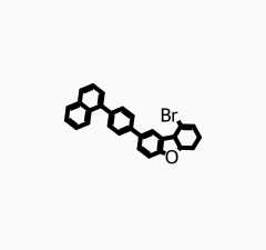 BrC1=CCCC2Oc3ccc(-c4ccc(-c5cccc6ccccc56)cc4)cc3C12